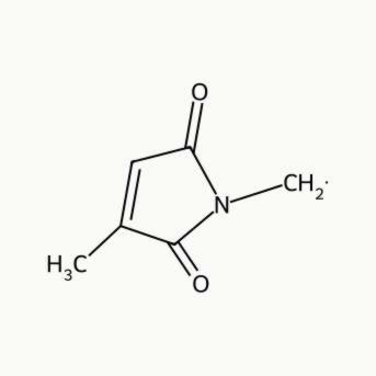 [CH2]N1C(=O)C=C(C)C1=O